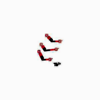 O=C[O-].O=C[O-].O=C[O-].[Tb+3]